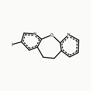 Ic1cnc2c(c1)CCc1cccnc1O2